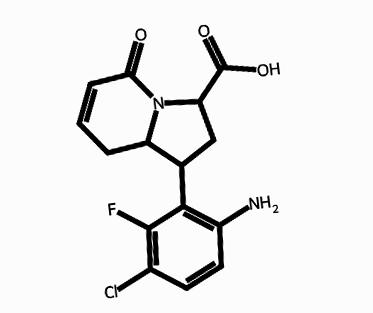 Nc1ccc(Cl)c(F)c1C1CC(C(=O)O)N2C(=O)C=CCC12